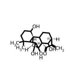 C=C1C(=O)[C@@]23C(O)[C@H]1CCC2[C@]12COC3(O)[C@@H](O)C1C(C)(C)CCC2O